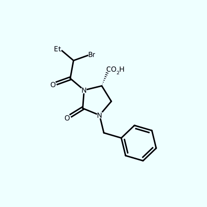 CCC(Br)C(=O)N1C(=O)N(Cc2ccccc2)C[C@H]1C(=O)O